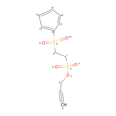 C#CCOS(=O)(=O)CCS(=O)(=O)c1ccccc1